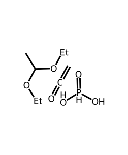 C=C=O.CCOC(C)OCC.O=[PH](O)O